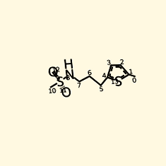 Cc1ccc(CCCNS(C)(=O)=O)s1